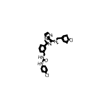 CN(Cc1ccc(Cl)cc1)c1nc(-c2cccc(CNC(=O)Nc3ccc(Cl)cc3)c2)cn2ccnc12